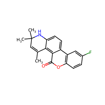 CC1=CC(C)(C)Nc2ccc3c(c21)c(=O)oc1ccc(F)cc13